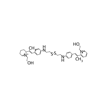 C/C(=C\c1ccc(NCCSSCCNc2ccc(/C=C(\C)C3CCCC=[N+]3CCO)cc2)cc1)c1cccc[n+]1CCO